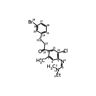 CCN(C)/C=N\c1cc(C)c(C(=O)CSc2cccc(Br)c2)cc1Cl